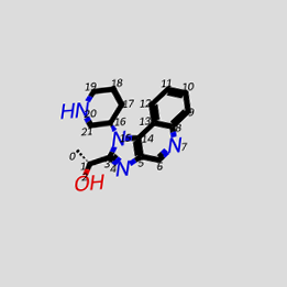 C[C@@H](O)c1nc2cnc3ccccc3c2n1[C@@H]1CCCNC1